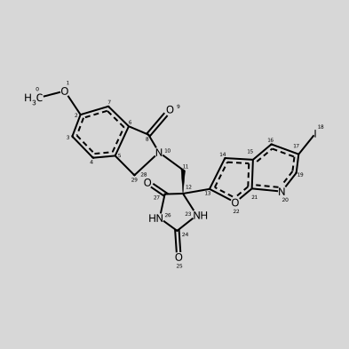 COc1ccc2c(c1)C(=O)N(C[C@@]1(c3cc4cc(I)cnc4o3)NC(=O)NC1=O)C2